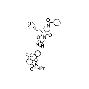 CC(C)CS(=O)(=O)c1ccccc1Oc1ccc(-c2noc(CN3C(=O)N(CCN4CCOCC4)C4(CCN(C(=O)C5CCN(C)CC5)CC4)C3=O)n2)cc1C(F)(F)F